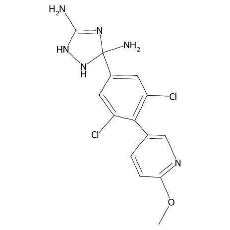 COc1ccc(-c2c(Cl)cc(C3(N)N=C(N)NN3)cc2Cl)cn1